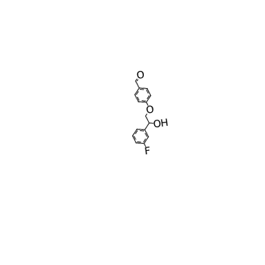 O=Cc1ccc(OCC(O)c2cccc(F)c2)cc1